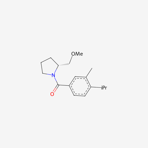 COC[C@H]1CCCN1C(=O)c1ccc(C(C)C)c(C)c1